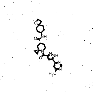 Cc1cc(-c2cc(C(=O)N3CC[C@@H](C(=O)NC4CCC5(CCO5)CC4)CC34CC4)n[nH]2)ncn1